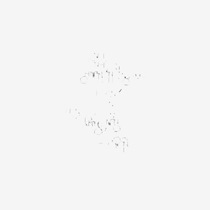 COc1ccc(C#CCNC2(C)CCN(C3CCN(c4nc([C@@](COCNC(=O)C(CC(N)=O)CC(N)=O)(OC5CC5)c5ccccc5)c5cc(-c6cn(C)c(=O)c7[nH]ccc67)ccc5n4)CC3)CC2)cc1N1CCC(=O)N(CNC(=O)CNC(=O)[C@H](Cc2ccccc2)NC(=O)CNC(=O)CN)C1=O